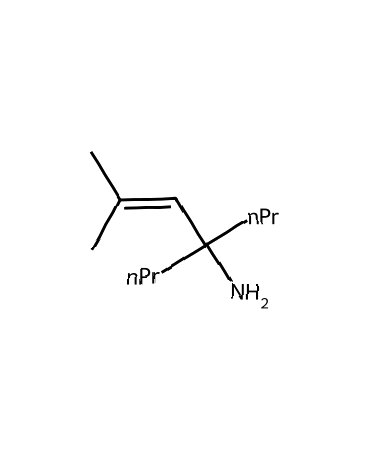 CCCC(N)(C=C(C)C)CCC